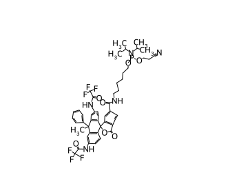 CC(C)N(C(C)C)P(OCCC#N)OCCCCCCNC(=O)c1ccc2c(c1)C1(OC2=O)c2ccc(NC(=O)C(F)(F)F)cc2C(C)(c2ccccc2)c2cc(NC(=O)C(F)(F)F)ccc21